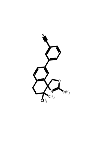 CC1(C)CCc2ccc(-c3cccc(C#N)c3)cc2C12COC(N)=N2